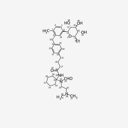 CC[C@H]1O[C@@H](c2ccc(C)c(Cc3ccc(CCCC(=O)NC4(N(C=O)CCN(C)C)CCCCC4)cc3)c2)[C@H](O)[C@@H](O)[C@@H]1O